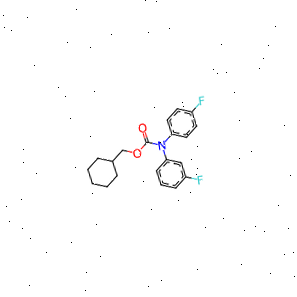 O=C(OCC1CCCCC1)N(c1ccc(F)cc1)c1cccc(F)c1